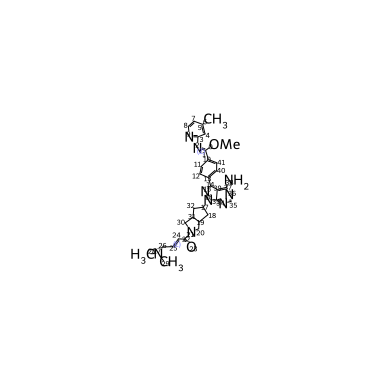 CO/C(=N\c1cc(C)ccn1)c1ccc(-c2nn(C3CC4CN(C(=O)/C=C/CN(C)C)CC4C3)c3ncnc(N)c23)cc1